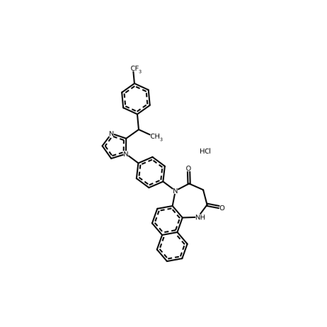 CC(c1ccc(C(F)(F)F)cc1)c1nccn1-c1ccc(N2C(=O)CC(=O)Nc3c2ccc2ccccc32)cc1.Cl